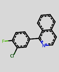 Fc1ccc(-c2nccc3ccccc23)cc1Cl